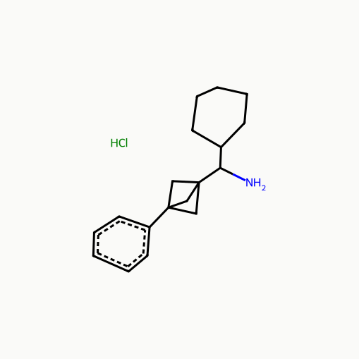 Cl.NC(C1CCCCC1)C12CC(c3ccccc3)(C1)C2